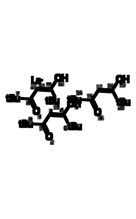 CC(C)(C)C(=O)/C=C(/O)C(C)(C)C.CC(C)(C)C(=O)/C=C(/O)C(C)(C)C.CC(C)(C)C(=O)/C=C(/O)C(C)(C)C.[La]